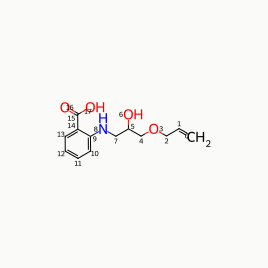 C=CCOCC(O)CNc1ccccc1C(=O)O